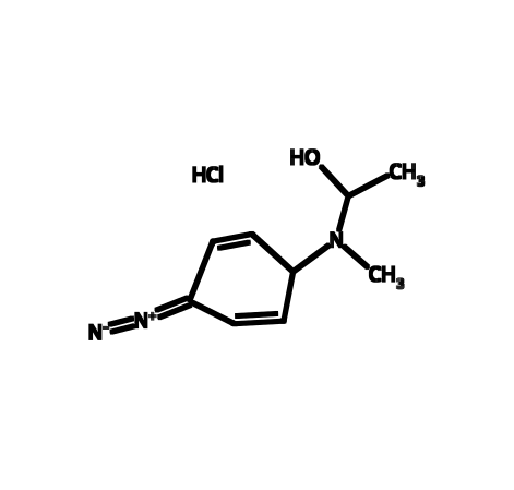 CC(O)N(C)C1C=CC(=[N+]=[N-])C=C1.Cl